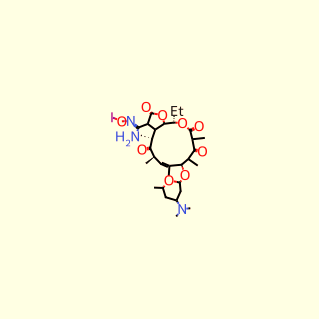 CC[C@@H]1OC(=O)C(C)C(=O)C(C)[C@@H](OC2CC(N(C)C)CC(C)O2)/C(C)=C\[C@@H](C)C(=O)[C@H](C)C2C(/C(N)=N/OI)C(=O)OC21